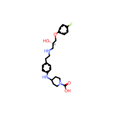 O=C(O)N1CCC(Nc2ccc(CCNC[C@H](O)COc3ccc(F)cc3)cc2)CC1